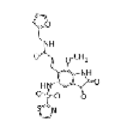 COc1c(C=CC(=O)NCc2ccco2)c(NS(=O)(=O)c2nccs2)cc2c1NC(=O)C2=O